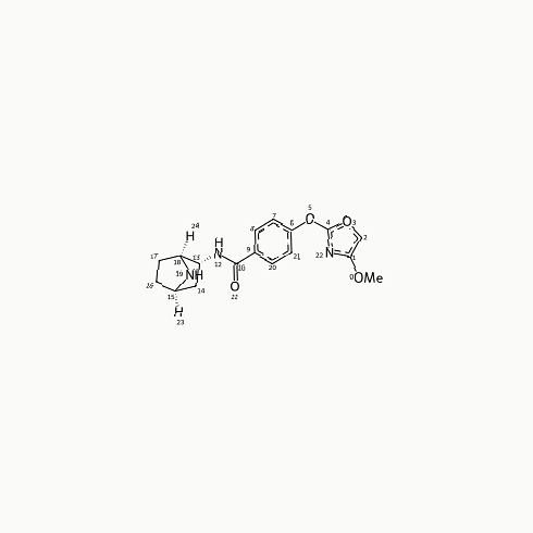 COc1coc(Oc2ccc(C(=O)N[C@@H]3C[C@H]4CC[C@@H]3N4)cc2)n1